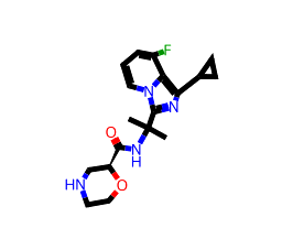 CC(C)(NC(=O)[C@@H]1CNCCO1)c1nc(C2CC2)c2c(F)cccn12